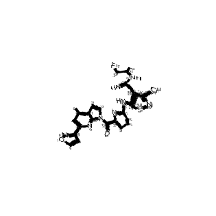 Cc1cc(-c2ccon2)nc2c1ccn2C(=O)c1cccc(Nc2snc(O)c2C(=N)NC(C)CF)n1